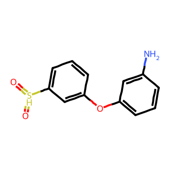 Nc1cccc(Oc2cccc([SH](=O)=O)c2)c1